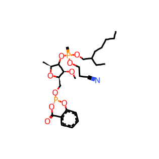 C=P(OCCC#N)(OCC(CC)CCCCC)OC1[C@H](C)O[C@H](COP2OC(=O)c3ccccc3O2)[C@@H]1OC